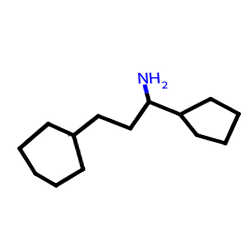 NC(CC[C]1CCCCC1)C1CCCC1